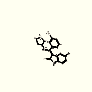 O=C1Nc2ccc(Br)cc2/C1=C(/NC1CCNC1)c1cccc(O)c1